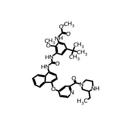 CCC1CN(C(=O)c2cc(Oc3ccc(NC(=O)Nc4cc(C(C)(C)C)cc(NC(=O)OC)c4OC)c4ccccc34)ccn2)CCN1